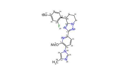 COc1nc(-c2nc3n(n2)CCC[C@@H]3c2ccc(C(C)(C)C)cc2F)ccc1-n1cnc(C)c1